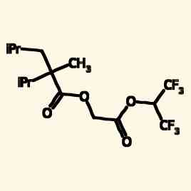 CC(C)CC(C)(C(=O)OCC(=O)OC(C(F)(F)F)C(F)(F)F)C(C)C